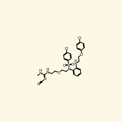 CNC(=NC#N)NCCOCCN(c1ccccc1NCCOc1ccc(Cl)cc1)S(=O)(=O)c1ccc(Cl)cc1